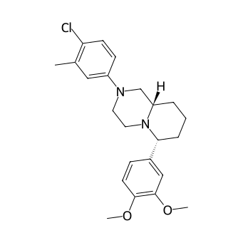 COc1ccc([C@H]2CCC[C@H]3CN(c4ccc(Cl)c(C)c4)CCN32)cc1OC